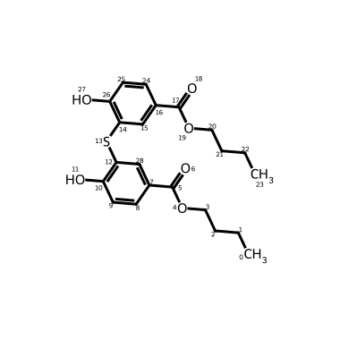 CCCCOC(=O)c1ccc(O)c(Sc2cc(C(=O)OCCCC)ccc2O)c1